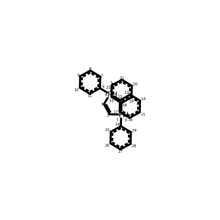 C[PH](/C=C\[PH](C)(c1ccccc1)c1ccccc1)(c1ccccc1)c1ccccc1